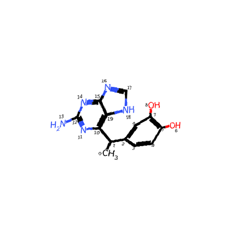 CC(c1ccc(O)c(O)c1)c1nc(N)nc2nc[nH]c12